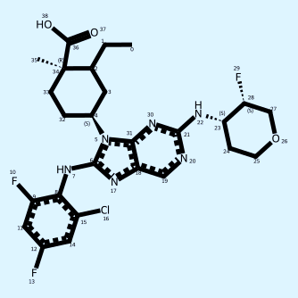 CCC1C[C@@H](n2c(Nc3c(F)cc(F)cc3Cl)nc3cnc(N[C@H]4CCOC[C@H]4F)nc32)CC[C@@]1(C)C(=O)O